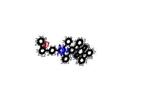 c1ccc(-c2nc(-c3ccc(-c4cccc5c4oc4ccccc45)cc3)nc(-c3ccccc3-c3ccc4c(c3)C3(c5ccccc5-4)c4ccccc4C4(c5ccccc5-c5ccccc54)c4ccccc43)n2)cc1